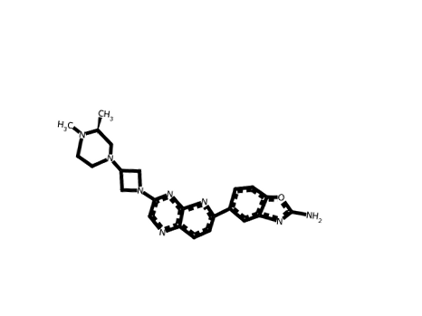 C[C@H]1CN(C2CN(c3cnc4ccc(-c5ccc6oc(N)nc6c5)nc4n3)C2)CCN1C